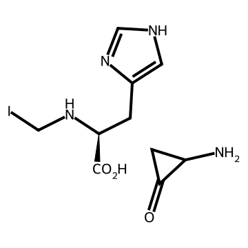 NC1CC1=O.O=C(O)[C@H](Cc1c[nH]cn1)NCI